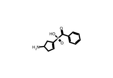 NC1CC=C(P(=O)(O)C(=O)c2ccccc2)C1